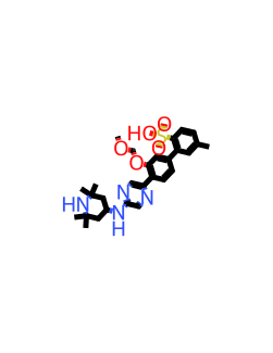 COCOc1cc(-c2cc(C)ccc2S(=O)(=O)O)ccc1-c1cnc(NC2CC(C)(C)NC(C)(C)C2)cn1